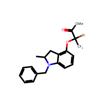 COC(=O)C(Br)(Oc1cccc2c1CC(C)N2Cc1ccccc1)C(F)(F)F